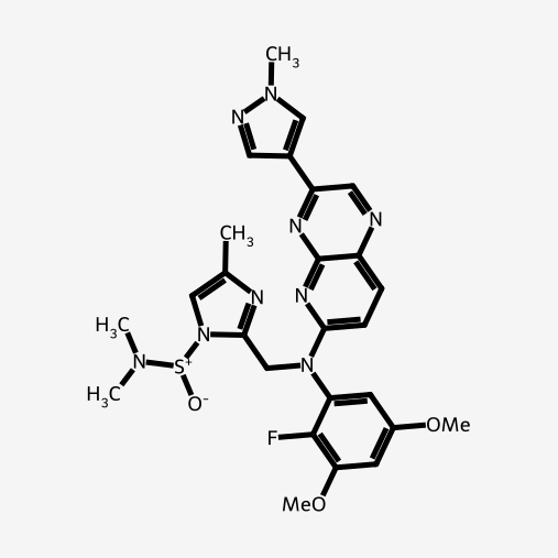 COc1cc(OC)c(F)c(N(Cc2nc(C)cn2[S+]([O-])N(C)C)c2ccc3ncc(-c4cnn(C)c4)nc3n2)c1